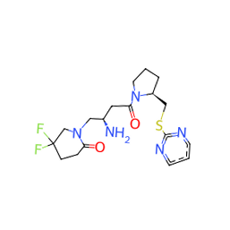 N[C@H](CC(=O)N1CCC[C@H]1CSc1ncccn1)CN1CC(F)(F)CCC1=O